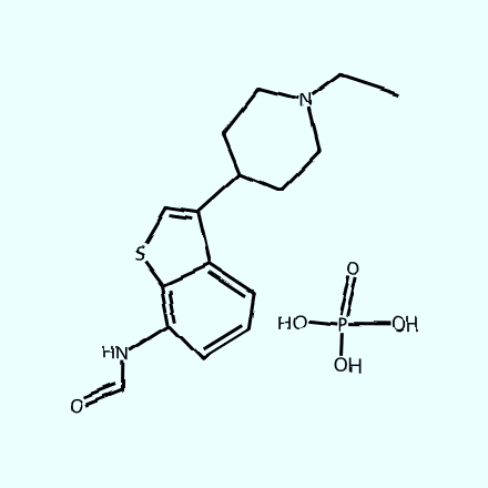 CCN1CCC(c2csc3c(NC=O)cccc23)CC1.O=P(O)(O)O